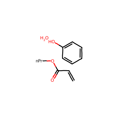 C=CC(=O)OCCC.O.Oc1ccccc1